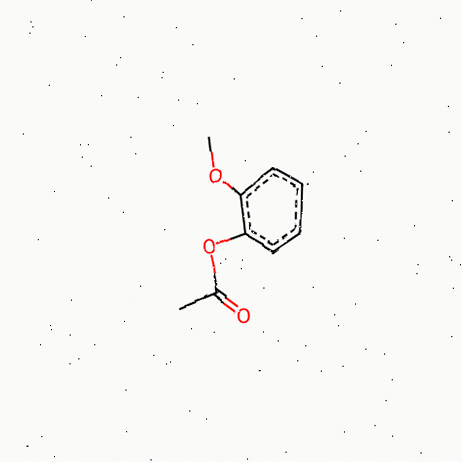 COc1c[c]ccc1OC(C)=O